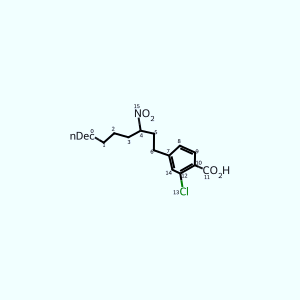 CCCCCCCCCCCCCC(CCc1ccc(C(=O)O)c(Cl)c1)[N+](=O)[O-]